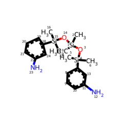 C[Si](C)(O[Si](C)(C)c1cccc(N)c1)O[Si](C)(C)c1cccc(N)c1